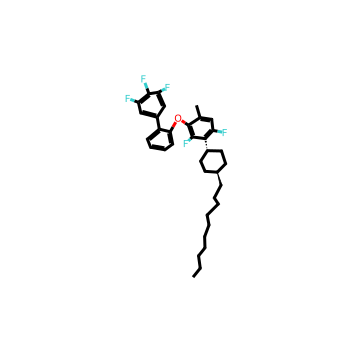 CCCCCCCCCC[C@H]1CC[C@H](c2c(F)cc(C)c(Oc3ccccc3-c3cc(F)c(F)c(F)c3)c2F)CC1